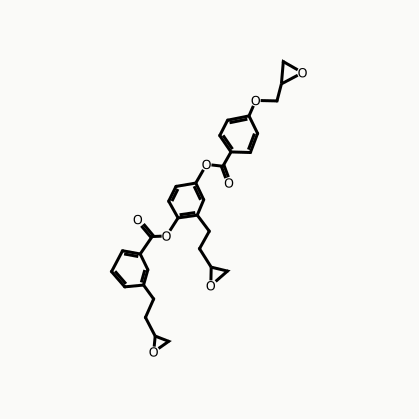 O=C(Oc1ccc(OC(=O)c2cccc(CCC3CO3)c2)c(CCC2CO2)c1)c1ccc(OCC2CO2)cc1